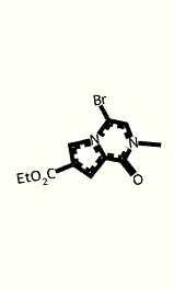 CCOC(=O)c1cc2c(=O)n(C)cc(Br)n2c1